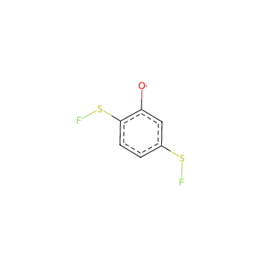 [O]c1cc(SF)ccc1SF